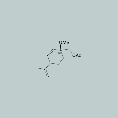 C=C(C)C1C=C[C@@](COC(C)=O)(OC)CC1